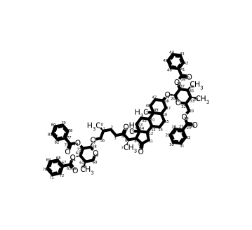 C[C@@H](CCC(=O)[C@@H](C)C1C(=O)CC2C3CCC4CC(O[C@@H]5OC(COC(=O)c6ccccc6)[C@H](C)[C@H](C)C5OC(=O)c5ccccc5)CCC4(C)C3CCC21C)CO[C@@H]1OC[C@@H](C)[C@H](OC(=O)c2ccccc2)C1OC(=O)c1ccccc1